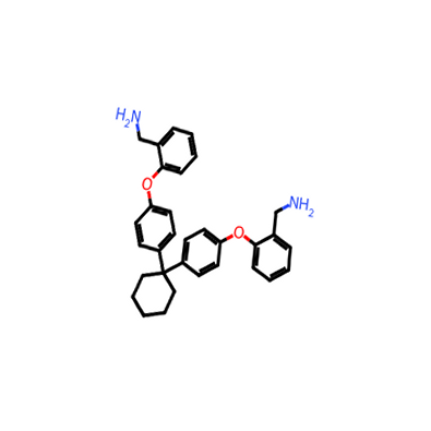 NCc1ccccc1Oc1ccc(C2(c3ccc(Oc4ccccc4CN)cc3)CCCCC2)cc1